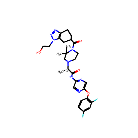 C[C@@H](C(=O)Nc1cnc(Oc2ccc(F)cc2F)cn1)N1CCN(C(=O)C2CCc3nnn(CCO)c3C2)C(C)(C)C1